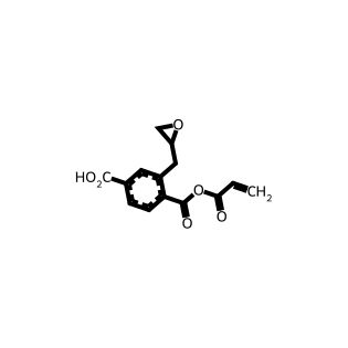 C=CC(=O)OC(=O)c1ccc(C(=O)O)cc1CC1CO1